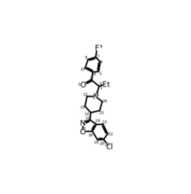 CCC(C(=O)c1ccc(F)cc1)N1CCC(c2noc3cc(Cl)ccc23)CC1